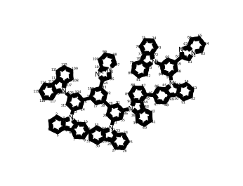 c1ccc2c(c1)c1ccccc1n2-c1cc(-c2cc(-c3cc(-n4c5ccccc5c5ccccc54)cc(-n4c5ccccc5c5c(-c6ccc7c8ccccc8n(-c8cc(-c9cn%10ccccc%10n9)cc(-n9c%10ccccc%10c%10ccccc%109)c8)c7c6)cccc54)c3)cc(-c3cn4ccccc4n3)c2)cc(-n2c3ccccc3c3ccccc32)c1